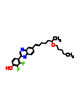 CCCCCOC(C)CCCC=Cc1ccc2nc(-c3ccc(O)c(F)c3F)cnc2c1